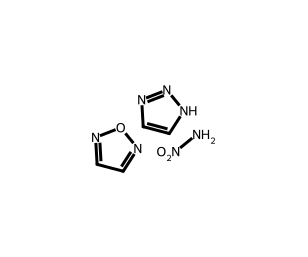 N[N+](=O)[O-].c1c[nH]nn1.c1cnon1